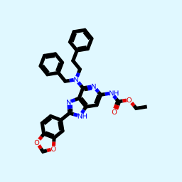 CCOC(=O)Nc1cc2[nH]c(-c3ccc4c(c3)OCO4)nc2c(N(CCc2ccccc2)Cc2ccccc2)n1